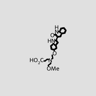 COCCN(CCOc1ccc2[nH]c(-c3cc4ccccc4[nH]c3=O)cc2c1)CCC(=O)O